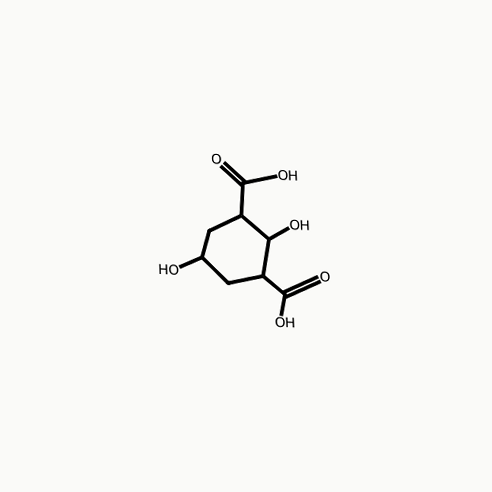 O=C(O)C1CC(O)CC(C(=O)O)C1O